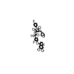 COc1cc2nccc(Oc3ccc(NC(=O)Oc4cn(CC5CCOCC5)c(=O)n(-c5ccc(F)cc5)c4=O)cc3F)c2cc1OC